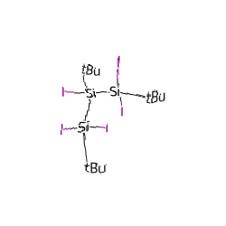 CC(C)(C)[Si](I)(I)[Si](I)(C(C)(C)C)[Si](I)(I)C(C)(C)C